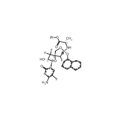 CC(C)OC(=O)[C@H](C)NP(=O)(OC[C@@]1(C(F)F)O[C@@H](n2cc(F)c(N)nc2=O)[C@H](O)C1(F)F)Oc1cccc2ccccc12